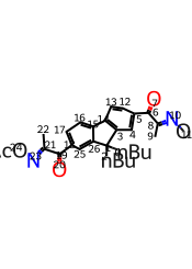 CCCCC1(CCCC)c2cc(C(=O)/C(C)=N/OC(C)=O)ccc2-c2ccc(C(=O)/C(C)=N/OC(C)=O)cc21